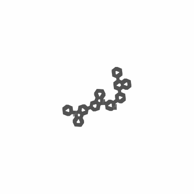 C1=c2c(n(-c3ccnc(-c4cccc(-c5ccc(-c6ccccc6)c6ccccc56)c4)c3)c3ccccc23)=CCC1c1ccc2c(c1)c1ccccc1n2-c1ccccc1